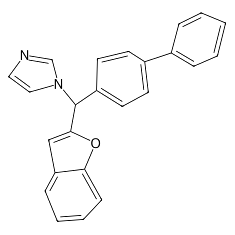 c1ccc(-c2ccc(C(c3cc4ccccc4o3)n3ccnc3)cc2)cc1